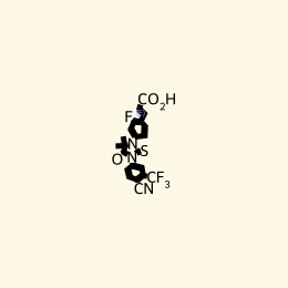 CC1(C)C(=O)N(c2ccc(C#N)c(C(F)(F)F)c2)C(=S)N1c1ccc(/C=C/C(=O)O)c(F)c1